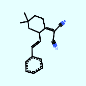 CC1(C)CCC(=C(C#N)C#N)C(C=Cc2ccccc2)C1